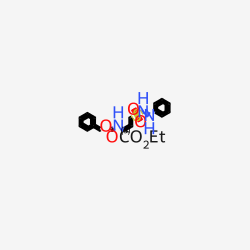 CCOC(=O)[C@H](CCS(=O)(=O)NNc1ccccc1)NC(=O)OCc1ccccc1